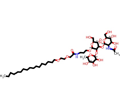 CCCCCCCCCCCCCCCCCOCCOCC(=O)NCCCO[C@@H]1OC(CO)[C@H](O)C(O[C@H]2OC(CO)[C@H](O)C(O)C2NC(C)=O)C1O[C@@H]1OC(C)[C@@H](O)C(O)C1O